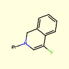 CC(C)N1C=C(F)c2ccccc2C1